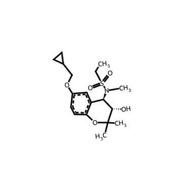 CCS(=O)(=O)N(C)[C@@H]1c2cc(OCC3CC3)ccc2OC(C)(C)[C@H]1O